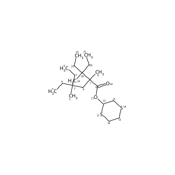 CCC(C)(CC)CC(C)(C(=O)OC1CSCCS1)C(C)(CC)CC